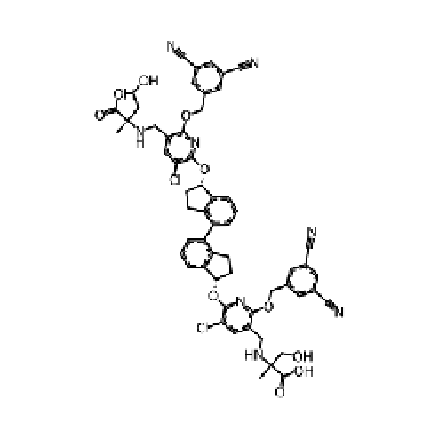 CC(CO)(NCc1cc(Cl)c(O[C@H]2CCc3c(-c4cccc5c4CC[C@@H]5Oc4nc(OCc5cc(C#N)cc(C#N)c5)c(CN[C@@](C)(CCO)C(=O)O)cc4Cl)cccc32)nc1OCc1cc(C#N)cc(C#N)c1)C(=O)O